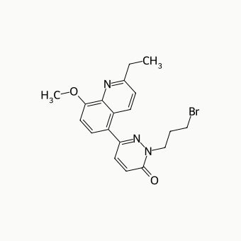 CCc1ccc2c(-c3ccc(=O)n(CCCBr)n3)ccc(OC)c2n1